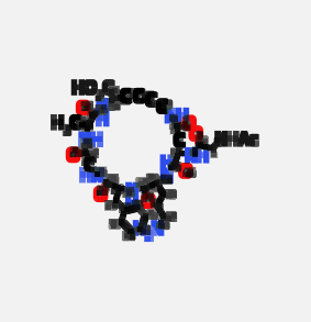 CC(=O)NCC(=O)NC1CC(=O)NCCCCC(C(=O)O)NC(=O)[C@H](C)NC(=O)CNC(=O)C(Cc2ccccc2)NC(=O)[C@H](CCCN)NC1=O